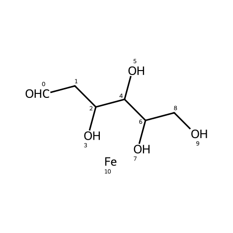 O=CCC(O)C(O)C(O)CO.[Fe]